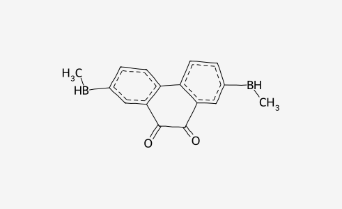 CBc1ccc2c(c1)C(=O)C(=O)c1cc(BC)ccc1-2